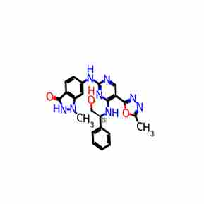 Cc1nnc(-c2cnc(Nc3ccc4c(=O)[nH]n(C)c4c3)nc2N[C@H](CO)c2ccccc2)o1